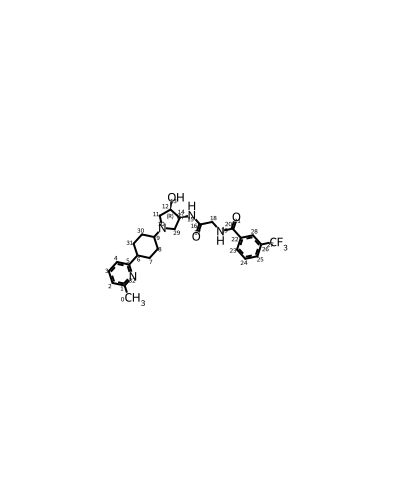 Cc1cccc(C2CCC(N3C[C@@H](O)[C@@H](NC(=O)CNC(=O)c4cccc(C(F)(F)F)c4)C3)CC2)n1